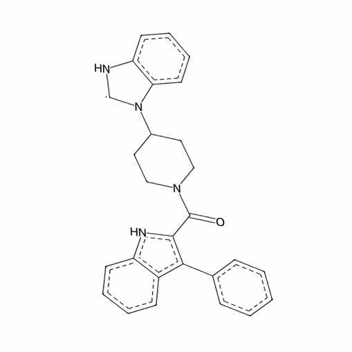 O=C(c1[nH]c2ccccc2c1-c1ccccc1)N1CCC(N2[CH]Nc3ccccc32)CC1